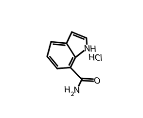 Cl.NC(=O)c1cccc2cc[nH]c12